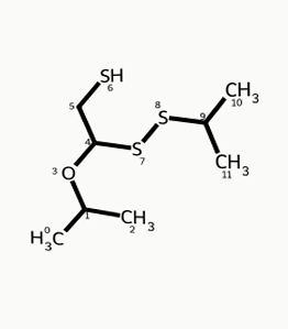 CC(C)OC(CS)SSC(C)C